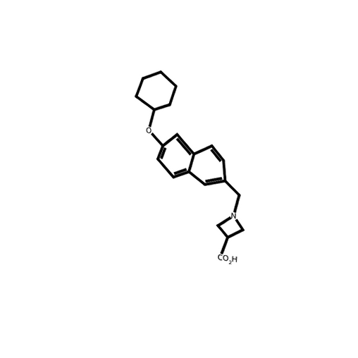 O=C(O)C1CN(Cc2ccc3cc(OC4CCCCC4)ccc3c2)C1